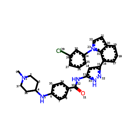 CN1CCC(Nc2ccc(C(=O)Nc3cc(-c4cccc5ccn(-c6cccc(Cl)c6)c45)n[nH]3)cc2)CC1